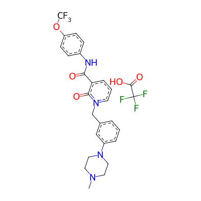 CN1CCN(c2cccc(Cn3cccc(C(=O)Nc4ccc(OC(F)(F)F)cc4)c3=O)c2)CC1.O=C(O)C(F)(F)F